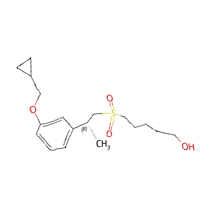 C[C@@H](CS(=O)(=O)CCCCCO)c1cccc(OCC2CC2)c1